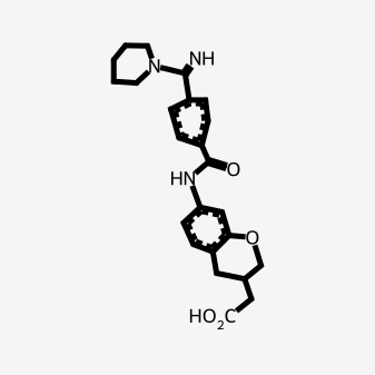 N=C(c1ccc(C(=O)Nc2ccc3c(c2)OCC(CC(=O)O)C3)cc1)N1CCCCC1